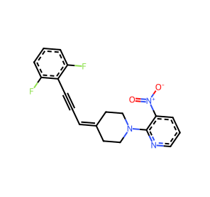 O=[N+]([O-])c1cccnc1N1CCC(=CC#Cc2c(F)cccc2F)CC1